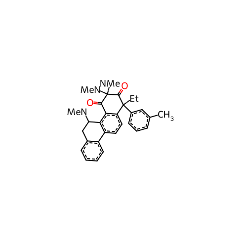 CCC1(c2cccc(C)c2)C(=O)C(NC)(NC)C(=O)c2c1ccc1c2C(NC)Cc2ccccc2-1